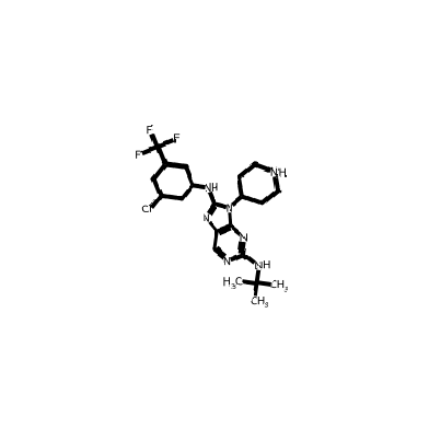 CC(C)(C)Nc1ncc2nc(NC3CC(Cl)CC(C(F)(F)F)C3)n(C3CCNCC3)c2n1